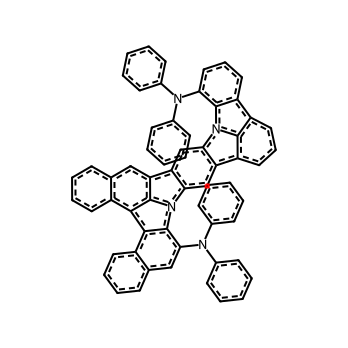 c1ccc(N(c2ccccc2)c2cccc3c4cccc5c6cc7c(cc6n(c23)c54)c2cc3ccccc3c3c4c5ccccc5cc(N(c5ccccc5)c5ccccc5)c4n7c23)cc1